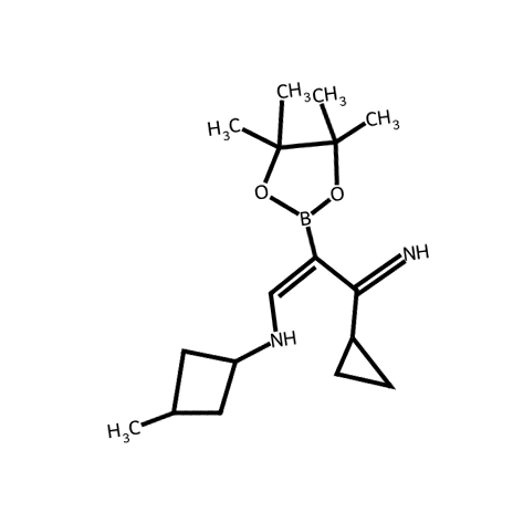 CC1CC(N/C=C(/B2OC(C)(C)C(C)(C)O2)C(=N)C2CC2)C1